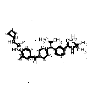 CC(C)C(c1cccc(C(=O)NC(C)(C)C)c1)N1CCN(C(=O)c2ccc(NC(=O)NC3CCC3)c(F)c2)CC1